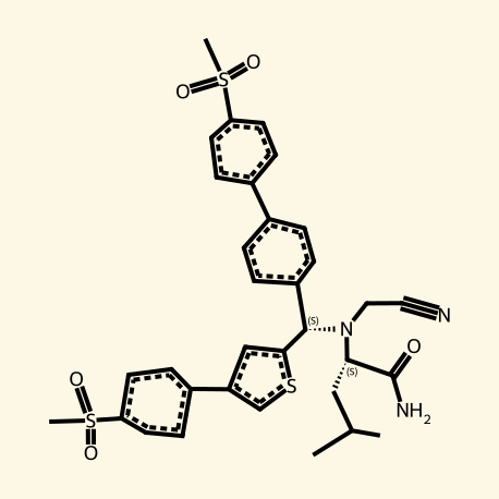 CC(C)C[C@@H](C(N)=O)N(CC#N)[C@@H](c1ccc(-c2ccc(S(C)(=O)=O)cc2)cc1)c1cc(-c2ccc(S(C)(=O)=O)cc2)cs1